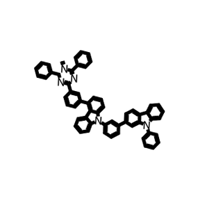 C=N/C(=N\C(=N/Cc1ccccc1)c1cccc(-c2cccc3c2c2ccccc2n3-c2cccc(-c3ccc4c5ccccc5n(-c5ccccc5)c4c3)c2)c1)c1ccccc1